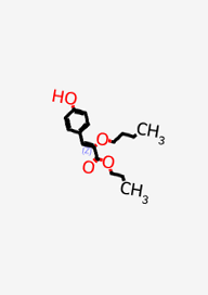 CCCCO/C(=C\c1ccc(O)cc1)C(=O)OCCC